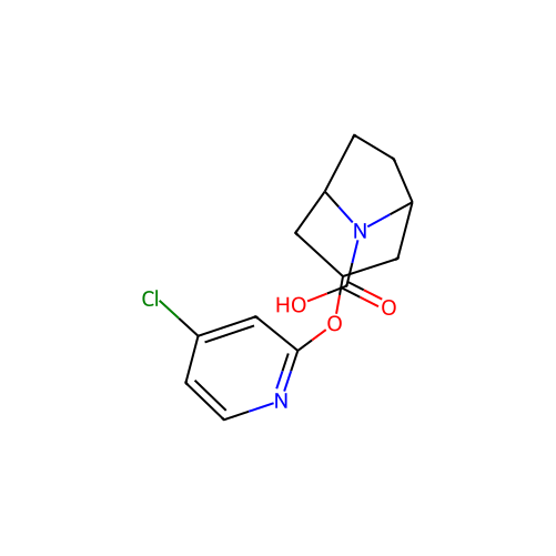 O=C(O)N1C2CCC1CC(Oc1cc(Cl)ccn1)C2